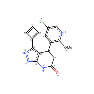 COc1ncc(Cl)cc1C1CC(=O)Nc2n[nH]c(C3=CC=C3)c21